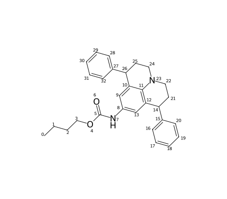 CCCCOC(=O)Nc1cc2c3c(c1)C(c1ccccc1)CCN3CCC2c1ccccc1